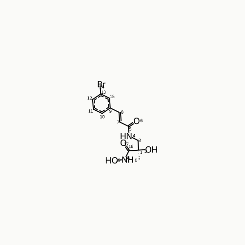 C[C@@](O)(CNC(=O)/C=C/c1cccc(Br)c1)C(=O)NO